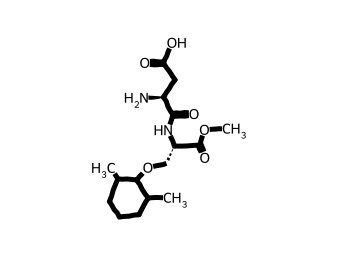 COC(=O)[C@H](COC1C(C)CCCC1C)NC(=O)[C@@H](N)CC(=O)O